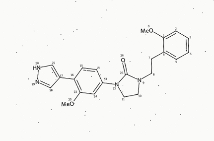 COc1ccccc1CCN1CCN(c2ccc(-c3cn[nH]c3)c(OC)c2)C1=O